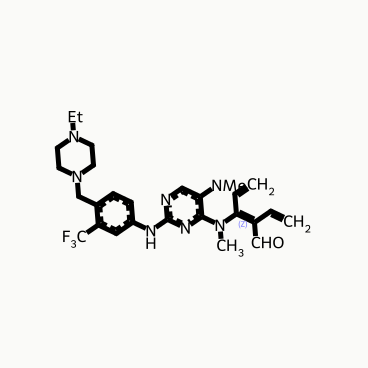 C=C/C(C=O)=C(\C=C)N(C)c1nc(Nc2ccc(CN3CCN(CC)CC3)c(C(F)(F)F)c2)ncc1NC